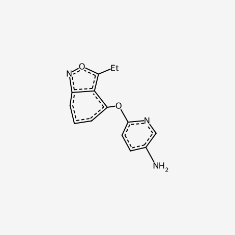 CCc1onc2cccc(Oc3ccc(N)cn3)c12